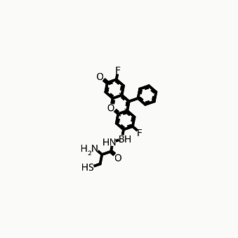 NC(CS)C(=O)NBc1cc2oc3cc(=O)c(F)cc-3c(-c3ccccc3)c2cc1F